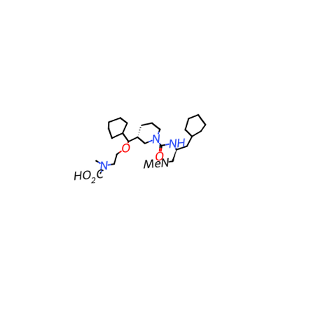 CNC[C@H](CC1CCCCC1)NC(=O)N1CCC[C@@H]([C@@H](OCCN(C)C(=O)O)C2CCCCC2)C1